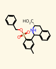 Cc1ccc(S(=O)(=O)OCc2ccccc2)c(C2N[C@H](C(=O)O)Cc3ccccc32)c1